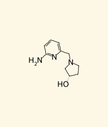 Nc1cccc(CN2CC[C@H](O)C2)n1